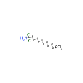 NC(Cl)(Cl)CCCCCCCCCCC(Cl)(Cl)Cl